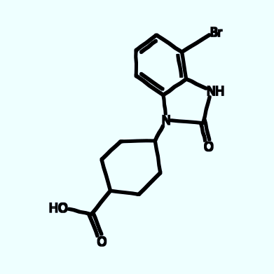 O=C(O)C1CCC(n2c(=O)[nH]c3c(Br)cccc32)CC1